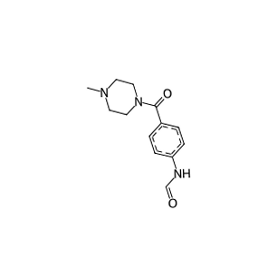 CN1CCN(C(=O)c2ccc(NC=O)cc2)CC1